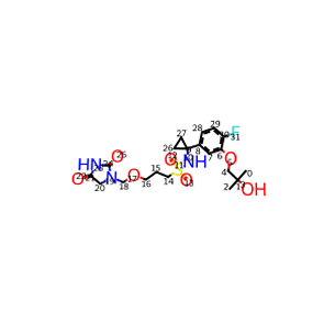 CC(C)(O)COc1cc(C2(NS(=O)(=O)CCCOCN3CC(=O)NC3=O)CC2)ccc1F